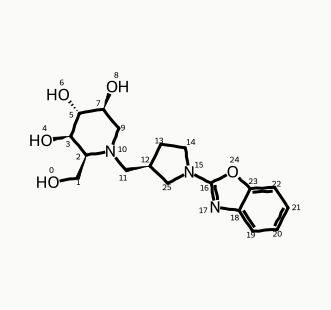 OC[C@H]1[C@@H](O)[C@H](O)[C@@H](O)CN1C[C@H]1CCN(c2nc3ccccc3o2)C1